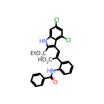 CCOC(=O)c1[nH]c2cc(Cl)cc(Cl)c2c1C=C(C(=O)O)c1ccccc1NC(=O)c1ccccc1